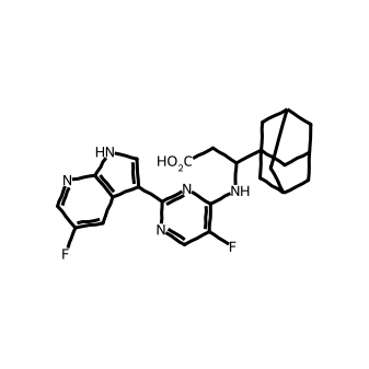 O=C(O)CC(Nc1nc(-c2c[nH]c3ncc(F)cc23)ncc1F)C12CC3CC(CC(C3)C1)C2